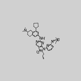 C=CCn1c(=O)c2cnc(Nc3cc4c(c(C5CCCC5)c3)CC(N(C)C)CC4)nc2n1-c1cccc(N=S(C)(C)=O)n1